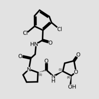 O=C1C[C@H](NC(=O)[C@@H]2CCCN2C(=O)CNC(=O)c2c(Cl)cccc2Cl)[C@H](O)O1